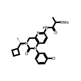 CNC(C)C(=O)Nc1ccc2c(n1)CN([C@@H](C)C1CCC1)C(=O)N2c1cccc(Cl)c1